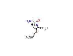 CC(=O)N/C=C/SC1=C(C(=O)O)N2C(=O)[C@H]([C@@H](C)N)[C@H]2C1